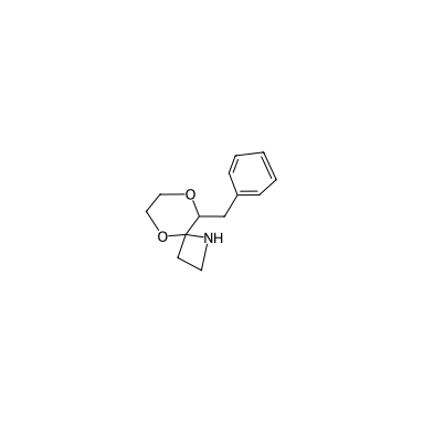 c1ccc(CC2OCCOC23CCN3)cc1